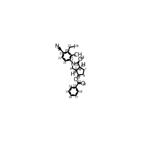 Cc1c(N2C[C@H]3[C@H](CC[C@H]3OC(=O)c3ccccc3)C2=O)ccc(C#N)c1CI